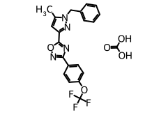 Cc1cc(-c2nc(-c3ccc(OC(F)(F)F)cc3)no2)nn1Cc1ccccc1.O=C(O)O